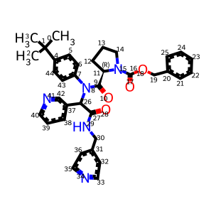 CC(C)(C)c1ccc(N(C(=O)[C@H]2CCCN2C(=O)OCc2ccccc2)C(C(=O)NCc2ccncc2)c2cccnc2)cc1